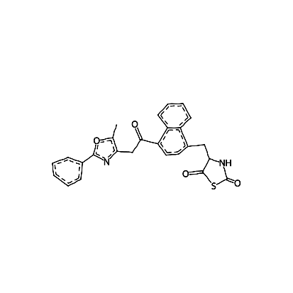 Cc1oc(-c2ccccc2)nc1CC(=O)c1ccc(CC2NC(=O)SC2=O)c2ccccc12